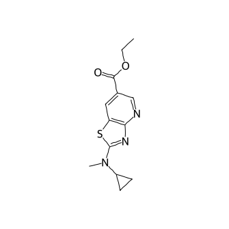 CCOC(=O)c1cnc2nc(N(C)C3CC3)sc2c1